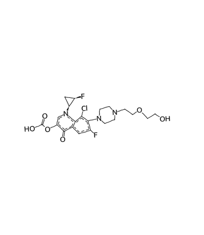 O=C(O)Oc1cn([C@H]2C[C@H]2F)c2c(Cl)c(N3CCN(CCOCCO)CC3)c(F)cc2c1=O